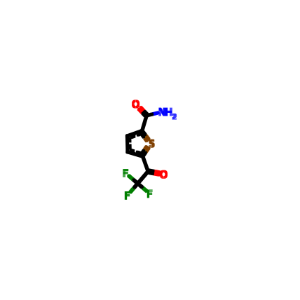 NC(=O)c1ccc(C(=O)C(F)(F)F)s1